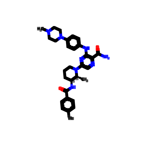 C[C@@H]1[C@H](NC(=O)c2ccc(C(C)(C)C)cc2)CCCN1c1cnc(C(N)=O)c(Nc2ccc(N3CCN(C)CC3)cc2)n1